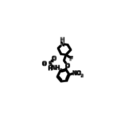 N[SH](=O)=O.O=[N+]([O-])c1ccccc1OCC1(F)CCNCC1